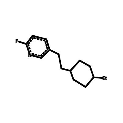 CCC1CCC(CCc2ccc(F)nc2)CC1